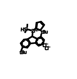 C[SiH](C)[Zr+2]([C]1=CC=CC1)[CH]1c2ccc(C(C)(C)C)cc2-c2cccc(C(C)(C)C)c21.[Cl-].[Cl-]